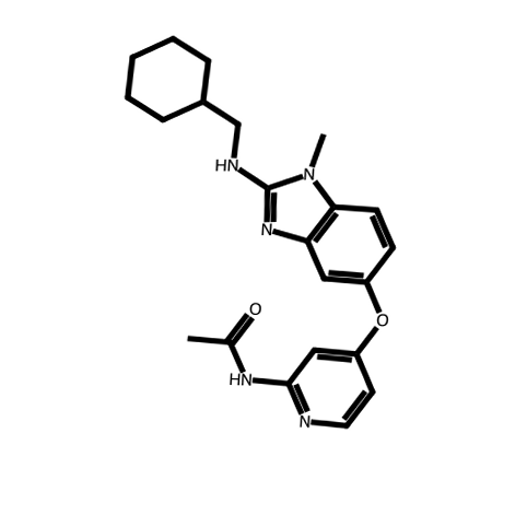 CC(=O)Nc1cc(Oc2ccc3c(c2)nc(NCC2CCCCC2)n3C)ccn1